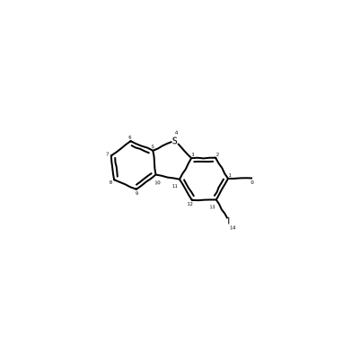 Cc1cc2sc3ccccc3c2cc1I